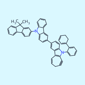 CC1(C)c2ccccc2-c2ccc(-n3c4ccccc4c4cc(-c5ccc6c(c5)c5c(n6-c6ccccc6C6=CC=CCC6)C#CCC=C5)ccc43)cc21